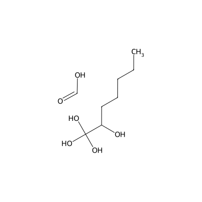 CCCCCC(O)C(O)(O)O.O=CO